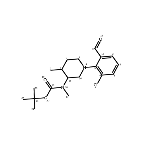 CC1CCN(c2c(Cl)cccc2C=O)CC1N(C)C(=O)OC(C)(C)C